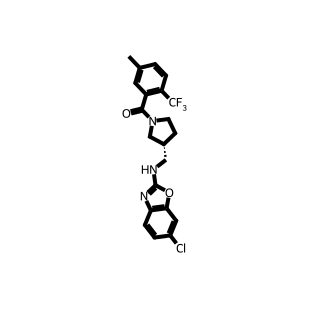 Cc1ccc(C(F)(F)F)c(C(=O)N2CC[C@H](CNc3nc4ccc(Cl)cc4o3)C2)c1